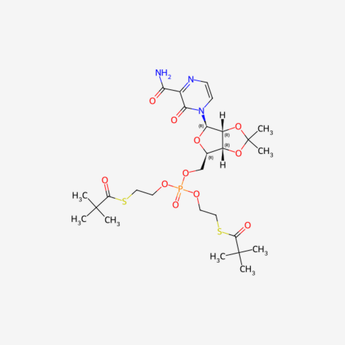 CC1(C)O[C@@H]2[C@H](O1)[C@@H](COP(=O)(OCCSC(=O)C(C)(C)C)OCCSC(=O)C(C)(C)C)O[C@H]2n1ccnc(C(N)=O)c1=O